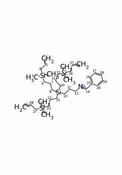 C=CC[Si](C)(C)CCC[Si](CCC/N=C/c1ccccc1)(CCC[Si](C)(C)CC=C)CCC[Si](C)(C)CC=C